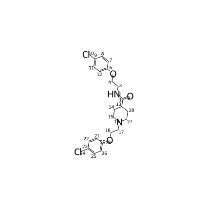 O=C(NCCOc1ccc(Cl)cc1)C1CCN(CCOc2ccc(Cl)cc2)CC1